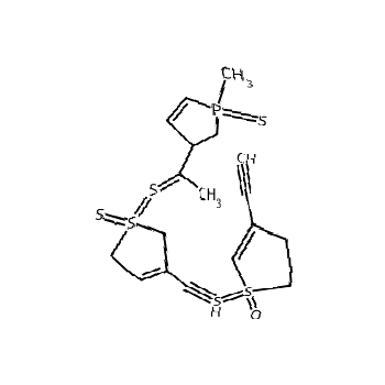 C#CC1=CS(=O)(=[SH]#CC2=CCS(=S)(=S=C(C)C3C=CP(C)(=S)C3)C2)CC1